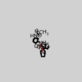 Cc1ccc(NS(C)(=O)=O)cc1NC(=O)CC1CC2CCC(C1)N2c1ncnc2sccc12